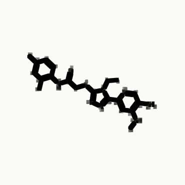 CCn1c(SCC(=O)Nc2ccc(C)cc2C)nnc1-c1cc(NC)c(N)cn1